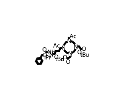 CC(=O)CN1CCN(CC(=O)OC(C)(C)C)CCN(CC(=O)OC(C)(C)C)CCN(C(CCC(=O)N(NC(=O)OCc2ccccc2)C(C)C)C(C)=O)CC1